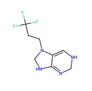 FC(F)(F)CCN1CNC2=NCNC=C21